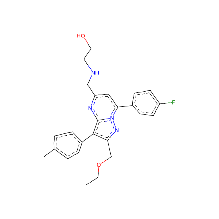 CCOCc1nn2c(-c3ccc(F)cc3)cc(CNCCO)nc2c1-c1ccc(C)cc1